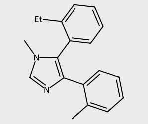 CCc1ccccc1-c1c(-c2ccccc2C)ncn1C